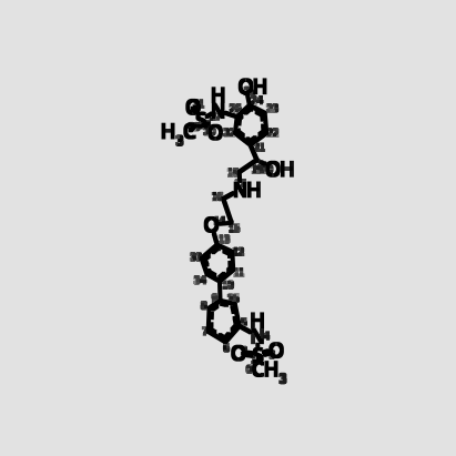 CS(=O)(=O)Nc1cccc(-c2ccc(OCCNC[C@H](O)c3ccc(O)c(NS(C)(=O)=O)c3)cc2)c1